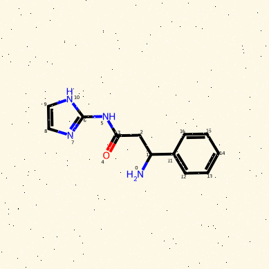 NC(CC(=O)Nc1ncc[nH]1)c1ccccc1